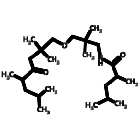 CC(C)CC(C)C(=O)CC(C)(C)COCC(C)(C)CNC(=O)C(C)CC(C)C